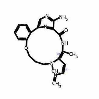 C=N/C=C\C1=C(/C)NC(=O)c2nc(cnc2N)-c2ccccc2OCCCN1C